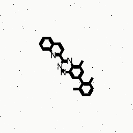 Cc1cccc(C)c1-c1cc(C)c2nc(-c3ccc4ccccc4n3)nnc2c1